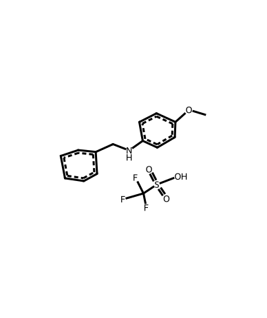 COc1ccc(NCc2ccccc2)cc1.O=S(=O)(O)C(F)(F)F